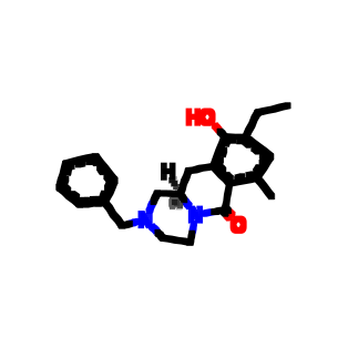 CCc1cc(C)c2c(c1O)C[C@@H]1CN(Cc3ccccc3)CCN1C2=O